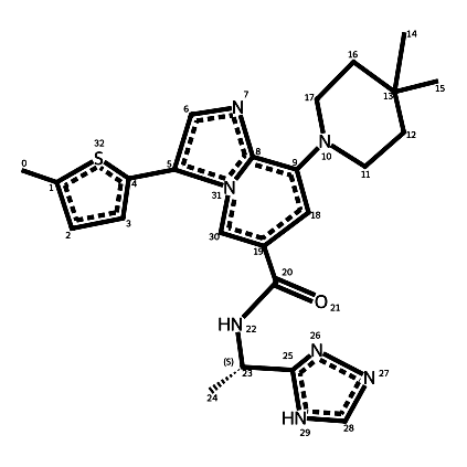 Cc1ccc(-c2cnc3c(N4CCC(C)(C)CC4)cc(C(=O)N[C@@H](C)c4nnc[nH]4)cn23)s1